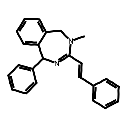 CN1Cc2ccccc2C(c2ccccc2)N=C1C=Cc1ccccc1